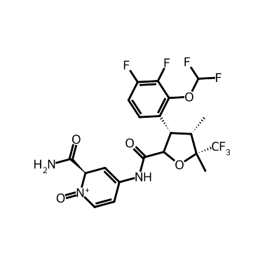 C[C@H]1[C@@H](c2ccc(F)c(F)c2OC(F)F)C(C(=O)NC2=C[C@H](C(N)=O)[N+](=O)C=C2)O[C@@]1(C)C(F)(F)F